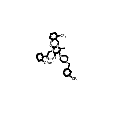 COc1ccccc1[C@H](N)Cn1c(=O)c(N2CCN(Cc3cccc(C(F)(F)F)c3)CC2)c(C)n(Cc2c(F)cccc2C(F)(F)F)c1=O